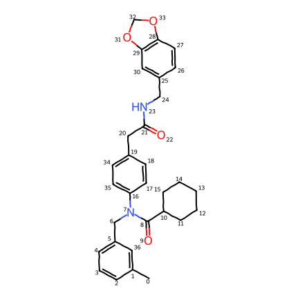 Cc1cccc(CN(C(=O)C2CCCCC2)c2ccc(CC(=O)NCc3ccc4c(c3)OCO4)cc2)c1